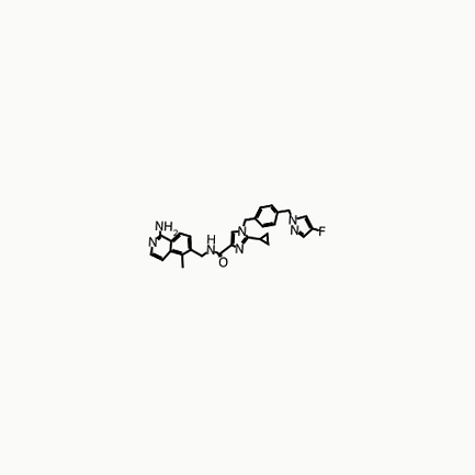 Cc1c(CNC(=O)c2cn(Cc3ccc(Cn4cc(F)cn4)cc3)c(C3CC3)n2)ccc2c(N)nccc12